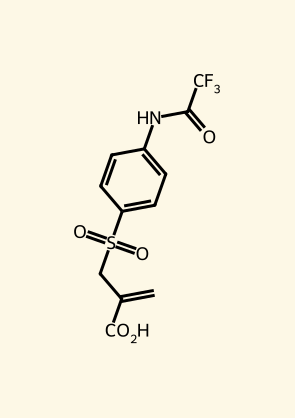 C=C(CS(=O)(=O)c1ccc(NC(=O)C(F)(F)F)cc1)C(=O)O